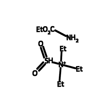 CCOC(N)=O.CC[N+](CC)(CC)[SH](=O)=O